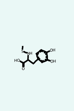 CSNC(Cc1ccc(O)c(O)c1)C(=O)O